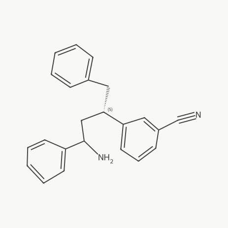 N#Cc1cccc([C@@H](Cc2ccccc2)CC(N)c2ccccc2)c1